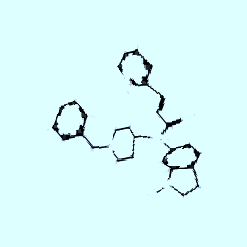 CC(=O)N1CCc2ccc(N(C(=O)C=Cc3ccccn3)C3CCN(Cc4ccccc4)CC3)cc21